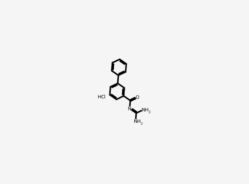 Cl.NC(N)=NC(=O)c1cccc(-c2ccccc2)c1